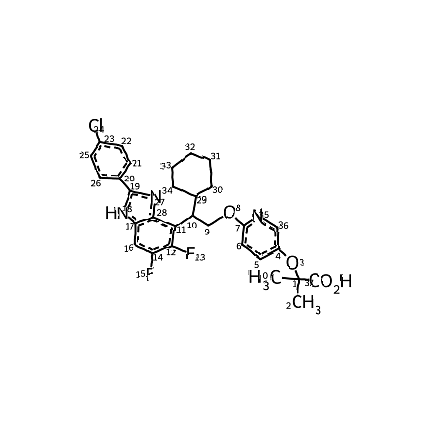 CC(C)(Oc1ccc(OCC(c2c(F)c(F)cc3[nH]c(-c4ccc(Cl)cc4)nc23)C2CCCCC2)nc1)C(=O)O